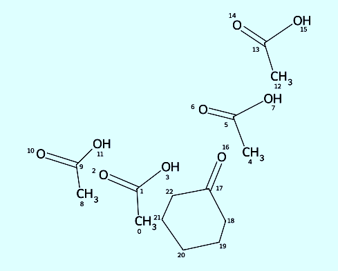 CC(=O)O.CC(=O)O.CC(=O)O.CC(=O)O.O=C1CCCCC1